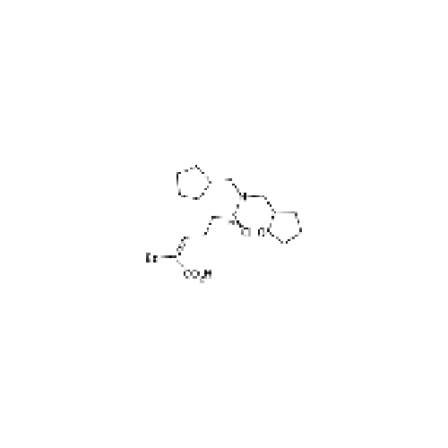 CCC(=CCC[C@H](C=O)N(CC1CCCC1)CC1CCCC1)C(=O)O